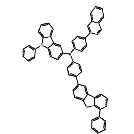 c1ccc(-c2cccc3c2oc2ccc(-c4ccc(N(c5ccc(-c6ccc7ccccc7c6)cc5)c5ccc6c(c5)c5ccccc5n6-c5ccccc5)cc4)cc23)cc1